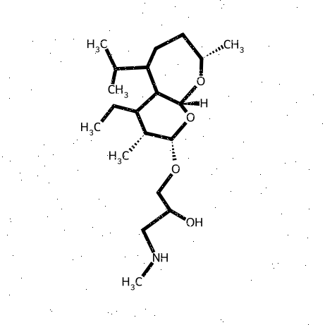 CCC1C2C(C(C)C)CC[C@H](C)O[C@@H]2O[C@H](OCC(O)CNC)[C@@H]1C